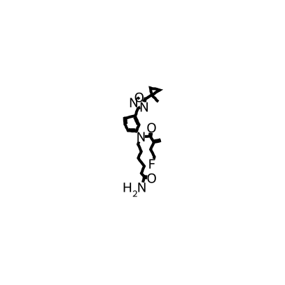 C=C(CCF)C(=O)N(CCCCCC(N)=O)c1cccc(-c2noc(C3(C)CC3)n2)c1